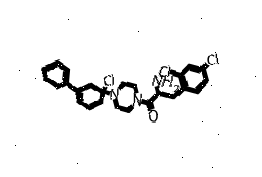 NC(Cc1ccc(Cl)cc1Cl)C(=O)N1CCN(C2(Cl)C=CC=C(c3ccccc3)C2)CC1